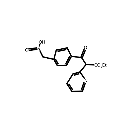 CCOC(=O)C(C(=O)c1ccc(CS(=O)O)cc1)c1ccccn1